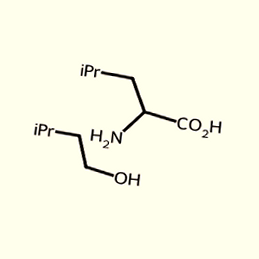 CC(C)CC(N)C(=O)O.CC(C)CCO